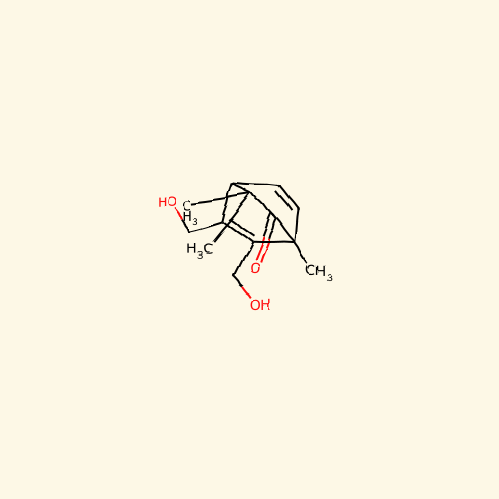 CC12C=CC(C(CO)=C1CO)C(C)(C)C2=O